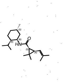 CC(C)=C[C@@H]1[C@H](C(=O)N[C@@H]2C[C@@H](C)CC[C@@H]2C(C)C)C1(C)C